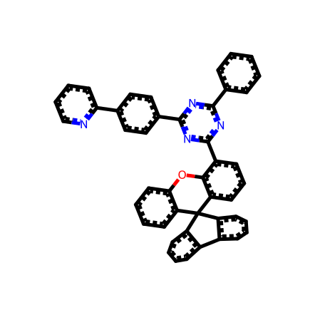 c1ccc(-c2nc(-c3ccc(-c4ccccn4)cc3)nc(-c3cccc4c3Oc3ccccc3C43c4ccccc4-c4ccccc43)n2)cc1